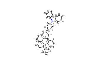 CC1(C)c2ccccc2-c2c(ccc3ccc4cc(-c5ccc(-n6c7ccccc7c7ccccc76)cc5)ccc4c23)C1(C)C